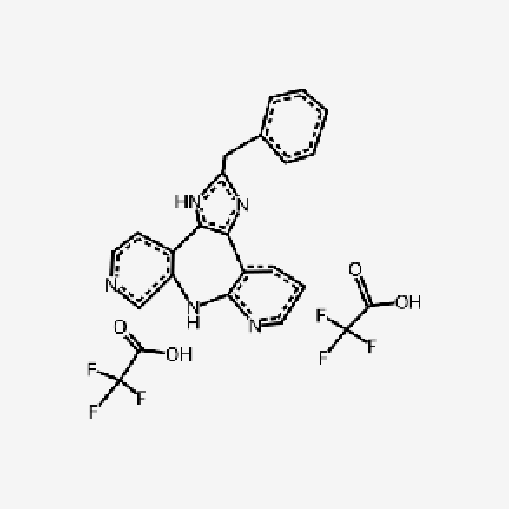 O=C(O)C(F)(F)F.O=C(O)C(F)(F)F.c1ccc(Cc2nc3c([nH]2)-c2ccncc2Nc2ncccc2-3)cc1